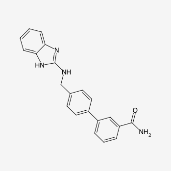 NC(=O)c1cccc(-c2ccc(CNc3nc4ccccc4[nH]3)cc2)c1